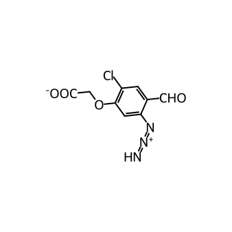 N=[N+]=Nc1cc(OCC(=O)[O-])c(Cl)cc1C=O